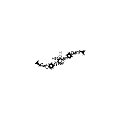 O[C@H]1[C@H](O)[C@@H](COc2ccc(OCCOCC3CC3)cc2)OCO[C@@H]1COc1ccc(OCCOCC2CC2)cc1